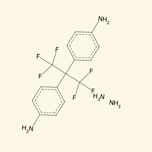 N.N.Nc1ccc(C(c2ccc(N)cc2)(C(F)(F)F)C(F)(F)F)cc1